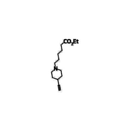 C#CC1CCN(CCCCCC(=O)OCC)CC1